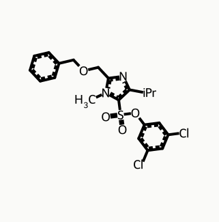 CC(C)c1nc(COCc2ccccc2)n(C)c1S(=O)(=O)Oc1cc(Cl)cc(Cl)c1